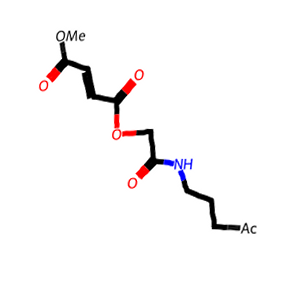 COC(=O)/C=C/C(=O)OCC(=O)NCCCC(C)=O